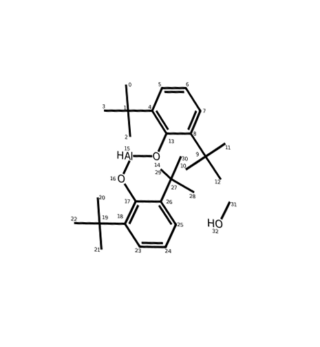 CC(C)(C)c1cccc(C(C)(C)C)c1[O][AlH][O]c1c(C(C)(C)C)cccc1C(C)(C)C.CO